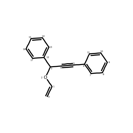 C=COC(C#Cc1ccccc1)c1ccccc1